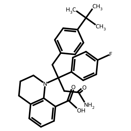 CC(C)(C)c1ccc(CC(CC(N)=O)(c2ccc(F)cc2)N2CCCc3cccc(C(=O)O)c32)cc1